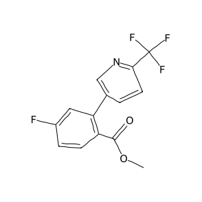 COC(=O)c1ccc(F)cc1-c1ccc(C(F)(F)F)nc1